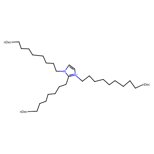 CCCCCCCCCCCCCCCCCCC[n+]1ccn(CCCCCCCCCCCCCCCCCC)c1CCCCCCCCCCCCCCCCC